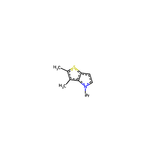 Cc1sc2ccn(C(C)C)c2c1C